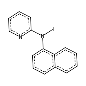 IN(c1ccccn1)c1cccc2ccccc12